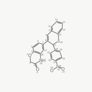 O=C1COc2ccc(C3=Cc4ccccc4SC3c3ccc([N+](=O)[O-])cc3)cc2N1